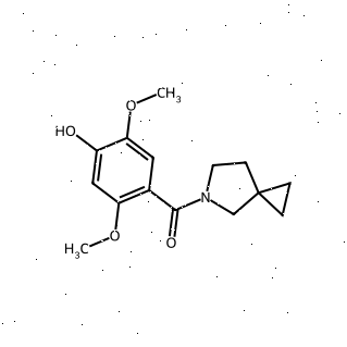 COc1cc(C(=O)N2CCC3(CC3)C2)c(OC)cc1O